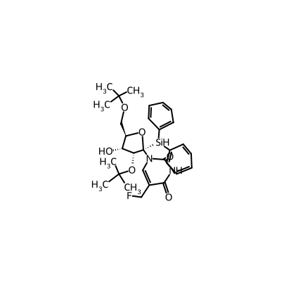 CC(C)(C)OC[C@H]1O[C@](n2cc(CF)c(=O)[nH]c2=O)([SiH](c2ccccc2)c2ccccc2)[C@H](OC(C)(C)C)[C@@H]1O